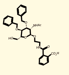 CC(=O)N[C@@H]1[C@@H](OCCNC(=O)c2ccccc2C(=O)O)O[C@H](CO)[C@@H](OCc2ccccc2)[C@@H]1OCc1ccccc1